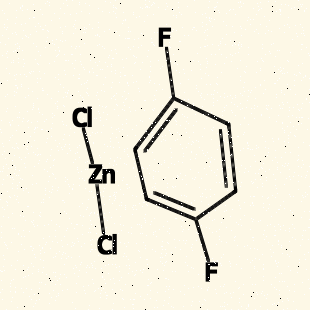 Fc1ccc(F)cc1.[Cl][Zn][Cl]